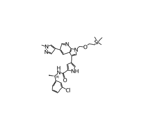 C[C@@H](NC(=O)c1cc(-c2cn(COCC[Si](C)(C)C)c3ncc(-c4cnn(C)c4)cc23)c[nH]1)c1cccc(Cl)c1